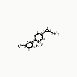 Cl.NC1CC1c1ccc(-c2ccc(Cl)s2)nc1